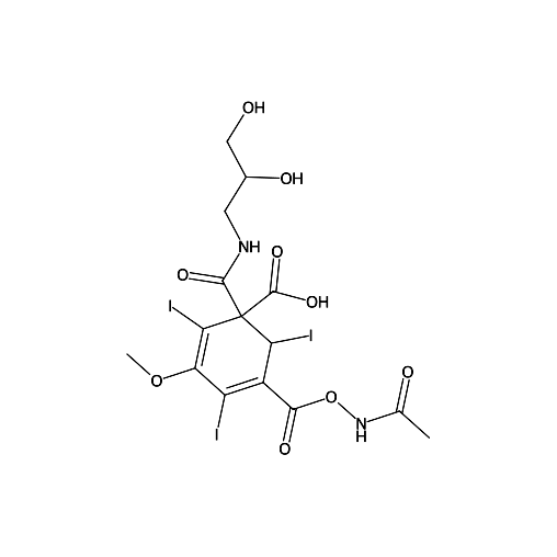 COC1=C(I)C(C(=O)O)(C(=O)NCC(O)CO)C(I)C(C(=O)ONC(C)=O)=C1I